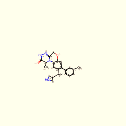 Cc1cccc(-c2cc3c(cc2[AsH]C2CNC2)N2C(=NNC(=O)C2C)CO3)c1